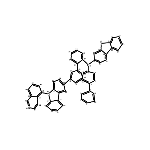 c1ccc(-c2ccc(N(c3ccc4c(c3)sc3ccccc34)c3ccccc3-c3cccc(-c4ccc5c(c4)c4ccccc4n5-c4cccc5cnccc45)c3)cc2)cc1